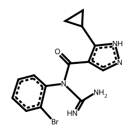 N=C(N)N(C(=O)c1cn[nH]c1C1CC1)c1ccccc1Br